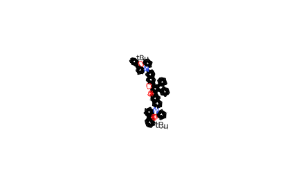 CC(C)(C)c1cccc2c1oc1c(N(c3ccccc3)c3ccc4cc5c(cc4c3)oc3c4oc6cc7cc(N(c8ccccc8)c8cccc9c8oc8c(C(C)(C)C)cccc89)ccc7cc6c4c(-c4ccccc4)c(-c4ccccc4)c53)cccc12